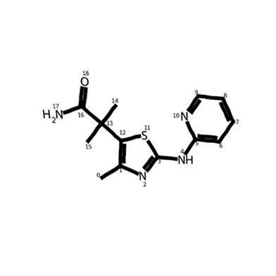 Cc1nc(Nc2ccccn2)sc1C(C)(C)C(N)=O